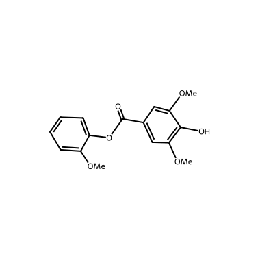 COc1ccccc1OC(=O)c1cc(OC)c(O)c(OC)c1